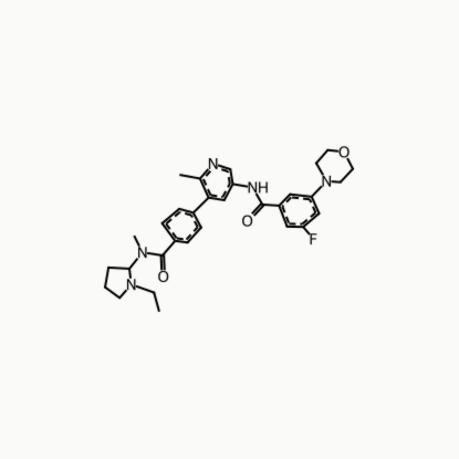 CCN1CCCC1N(C)C(=O)c1ccc(-c2cc(NC(=O)c3cc(F)cc(N4CCOCC4)c3)cnc2C)cc1